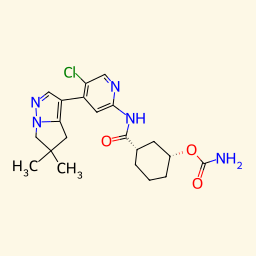 CC1(C)Cc2c(-c3cc(NC(=O)[C@H]4CCC[C@@H](OC(N)=O)C4)ncc3Cl)cnn2C1